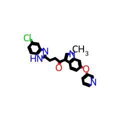 Cn1cc(C(=O)CCc2nc3cc(Cl)ccc3[nH]2)c2ccc(Oc3cccnc3)cc21